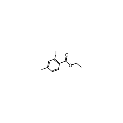 CCOC(=O)c1ccc(C)cc1I